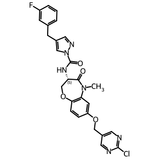 CN1C(=O)[C@@H](NC(=O)n2cc(Cc3cccc(F)c3)cn2)COc2ccc(OCc3cnc(Cl)nc3)cc21